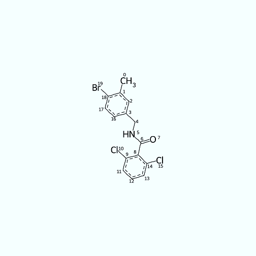 Cc1cc(CNC(=O)c2c(Cl)cccc2Cl)ccc1Br